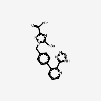 CCCCc1nc(C(=O)CCC)nn1Cc1ccc(-c2cccnc2-c2nnn[nH]2)cc1